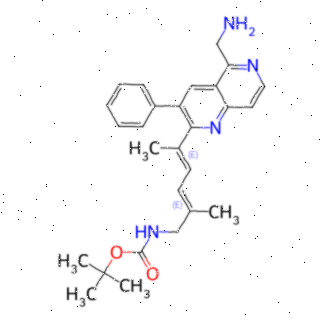 C/C(=C\C=C(/C)c1nc2ccnc(CN)c2cc1-c1ccccc1)CNC(=O)OC(C)(C)C